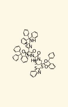 O=C(NC1C(=O)N2CC(Sc3nc4ccccc4s3)(C(=O)OC(c3ccccc3)c3ccccc3)CS[C@H]12)C(=NOC(c1ccccc1)(c1ccccc1)c1ccccc1)c1csc(NC(c2ccccc2)(c2ccccc2)c2ccccc2)n1